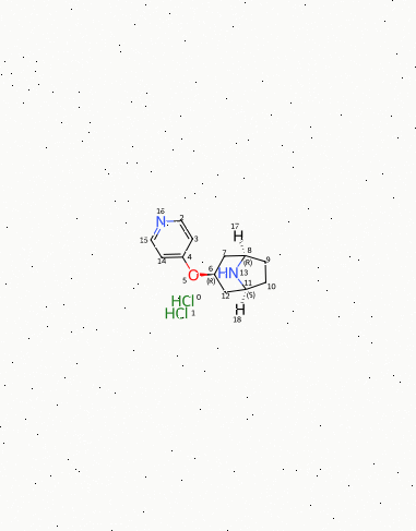 Cl.Cl.c1cc(O[C@H]2C[C@H]3CC[C@@H](C2)N3)ccn1